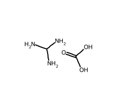 NC(N)N.O=C(O)O